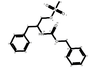 CS(=O)(=O)OCC(Cc1ccccc1)NC(=O)OCc1ccccc1